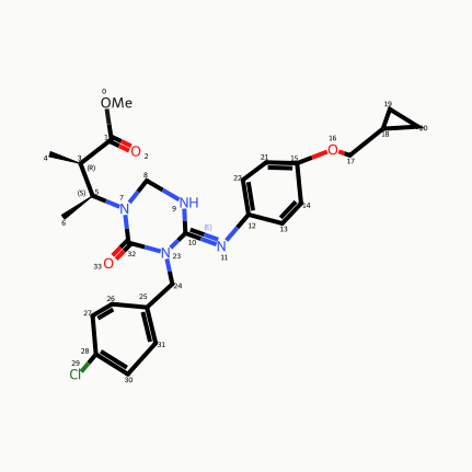 COC(=O)[C@H](C)[C@H](C)N1CN/C(=N\c2ccc(OCC3CC3)cc2)N(Cc2ccc(Cl)cc2)C1=O